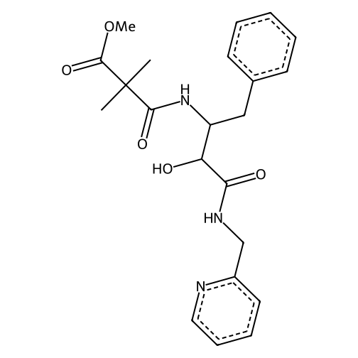 COC(=O)C(C)(C)C(=O)NC(Cc1ccccc1)C(O)C(=O)NCc1ccccn1